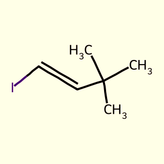 CC(C)(C)/C=C/I